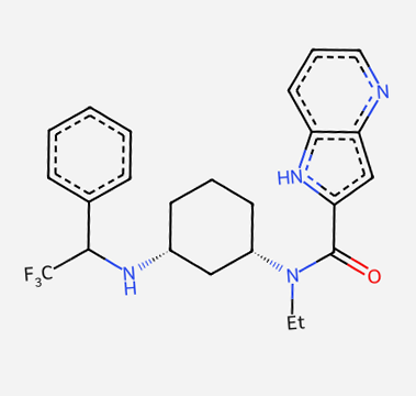 CCN(C(=O)c1cc2ncccc2[nH]1)[C@H]1CCC[C@@H](NC(c2ccccc2)C(F)(F)F)C1